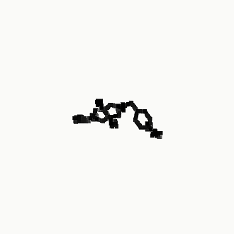 CC(=O)N1CCC(CN2C[C@@H]3CN(C(C)(C)C)C[C@@H]3C2)CC1